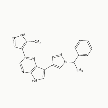 Cc1[nH]ncc1-c1cnc2[nH]cc(-c3cnn(C(C)c4ccccc4)c3)c2n1